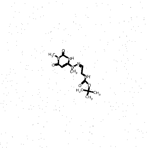 CN(/N=C\CNC(=O)OC(C)(C)C)c1cc(=O)n(C)c(=O)[nH]1